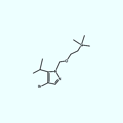 CC(C)c1c(Br)cnn1COCC[Si](C)(C)C